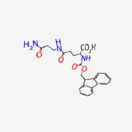 NC(=O)CCNC(=O)CCC(NC(=O)OCC1c2ccccc2-c2ccccc21)C(=O)O